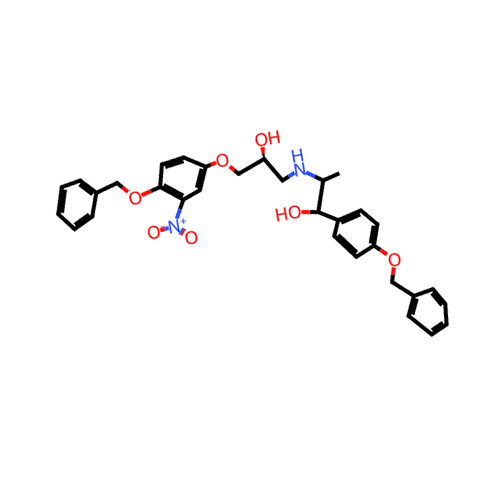 CC(NC[C@H](O)COc1ccc(OCc2ccccc2)c([N+](=O)[O-])c1)C(O)c1ccc(OCc2ccccc2)cc1